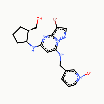 [O-][n+]1cccc(CNc2cc(N[C@H]3CCC[C@H]3CO)nc3c(Br)cnn23)c1